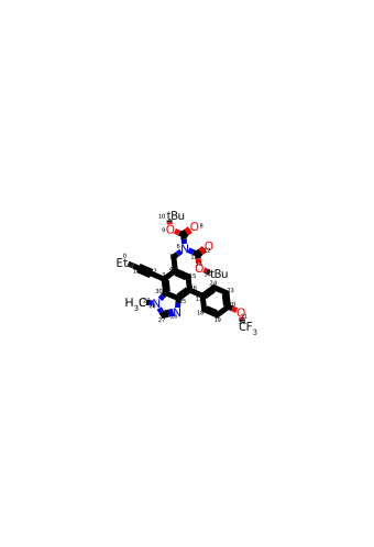 CCC#Cc1c(CN(C(=O)OC(C)(C)C)C(=O)OC(C)(C)C)cc(-c2ccc(OC(F)(F)F)cc2)c2ncn(C)c12